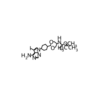 CC(C)(C)OC(=O)NC1COC(C2CCC(n3cc(I)c4c(N)ncnc43)CC2)OC1